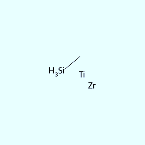 C[SiH3].[Ti].[Zr]